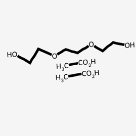 CC(=O)O.CC(=O)O.OCCOCCOCCO